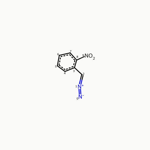 [N-]=[N+]=Cc1ccccc1[N+](=O)[O-]